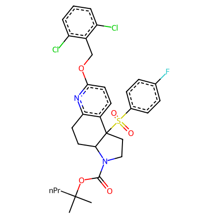 CCCC(C)(C)OC(=O)N1CCC2(S(=O)(=O)c3ccc(F)cc3)c3ccc(OCc4c(Cl)cccc4Cl)nc3CCC12